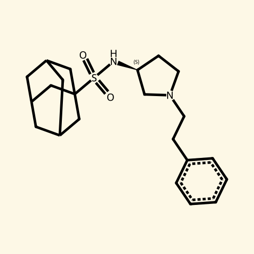 O=S(=O)(N[C@H]1CCN(CCc2ccccc2)C1)C12CC3CC(CC(C3)C1)C2